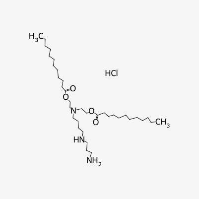 CCCCCCCCCCCC(=O)OCCN(CCCCNCCCN)CCOC(=O)CCCCCCCCCCC.Cl